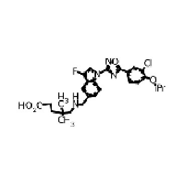 CC(C)Oc1ccc(-c2nc(-n3cc(F)c4cc(CNCC(C)(C)CCC(=O)O)ccc43)no2)cc1Cl